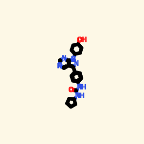 O=C(Nc1ccc(-c2nn(C3CCC(O)CC3)c3ncncc23)cc1)NC1CCCC1